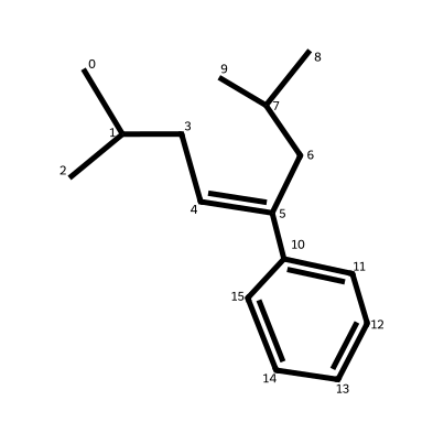 CC(C)CC=C(CC(C)C)c1ccccc1